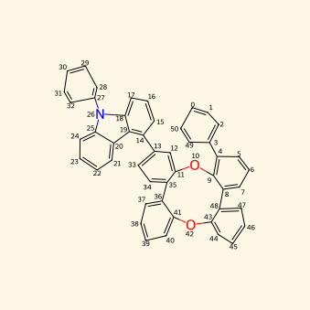 c1ccc(-c2cccc3c2Oc2cc(-c4cccc5c4c4ccccc4n5-c4ccccc4)ccc2-c2ccccc2Oc2ccccc2-3)cc1